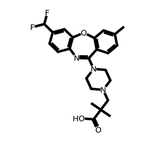 Cc1ccc2c(c1)Oc1cc(C(F)F)ccc1N=C2N1CCN(CC(C)(C)C(=O)O)CC1